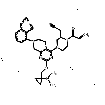 C=CC(=O)N1CCN(c2nc(OCC3(N(C)C)CC3)nc3c2CCN(c2cccc4ccccc24)C3)CC1CC#N